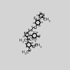 COc1ccc(C(C)(C)c2cnc(SCCOc3ccc(-n4ccnc4C)c(F)c3)n2-c2ccc(F)cc2)cc1OC